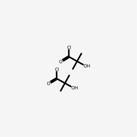 CC(C)(O)C(=O)Cl.CC(C)(O)C(=O)Cl